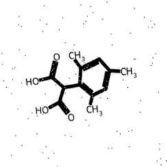 Cc1cc(C)c(C(C(=O)O)C(=O)O)c(C)c1